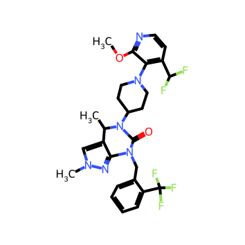 COc1nccc(C(F)F)c1N1CCC(N2C(=O)N(Cc3ccccc3C(F)(F)F)c3nn(C)cc3C2C)CC1